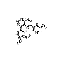 COc1cncc(-c2ccc3ncnc(-c4ccc(OC)c(OC)c4)c3c2)c1